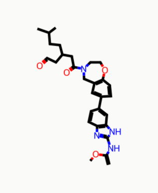 C=C(Nc1nc2ccc(-c3ccc4c(c3)CN(C(=O)CC(CC=O)CCC(C)C)CCO4)cc2[nH]1)OC